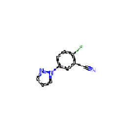 N#Cc1cc(-n2cccn2)ccc1F